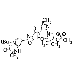 Cn1cc(NC(=O)c2coc(-c3ccnc(NC(C(=O)OC(C)(C)C)C(F)(F)F)c3)n2)c(N2CC(OS(C)(=O)=O)C(C)(C)C2=O)n1